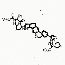 COC(=O)N[C@H](C(=O)N1C[C@@H](C)C[C@H]1c1cc2ccc3cc4c(cc3c2[nH]1)OCc1cc(-c2cnc([C@@H]3C[C@H](C)CN3C(=O)OC(C)(C)C)[nH]2)ccc1-4)C(C)C